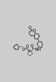 O=C(Nc1cccc(-c2ccc3oc(=O)ccc3c2)c1)C1CCCN1C(=O)OCc1ccccc1